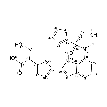 CCC(C(=O)O)C1CN=C(c2cc3cccc(N(CC)S(=O)(=O)c4cccs4)c3[nH]2)S1